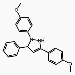 COc1ccc(C2=CC(c3ccccc3)N(c3ccc(OC)cc3)N2)cc1